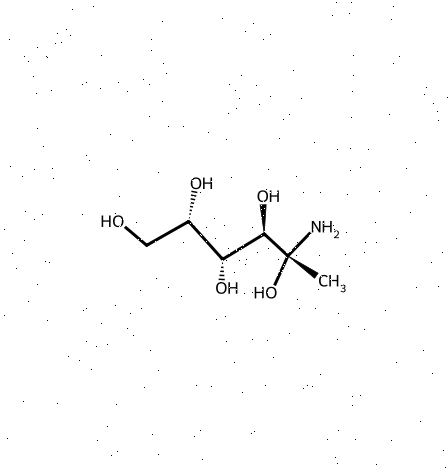 C[C@@](N)(O)[C@H](O)[C@H](O)[C@@H](O)CO